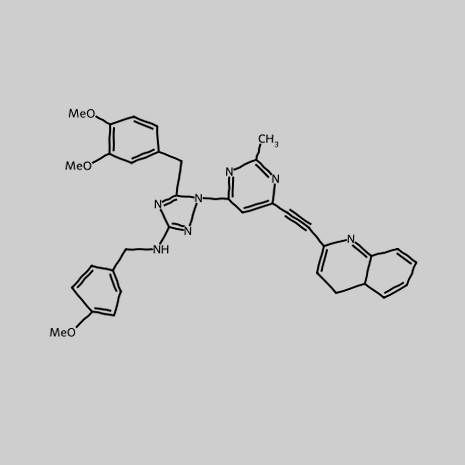 COc1ccc(CNc2nc(Cc3ccc(OC)c(OC)c3)n(-c3cc(C#CC4=CCC5C=CC=CC5=N4)nc(C)n3)n2)cc1